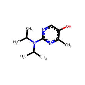 Cc1nc(N(C(C)C)C(C)C)ncc1O